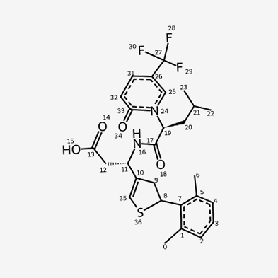 Cc1cccc(C)c1C1CC([C@H](CC(=O)O)NC(=O)[C@H](CC(C)C)n2cc(C(F)(F)F)ccc2=O)=CS1